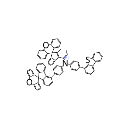 C/C=C(\C1=C(C)C2(c3ccccc3Oc3ccccc32)c2ccccc21)N(c1ccc(-c2cccc3c2-c2ccccc2C32c3ccccc3Oc3ccccc32)cc1)c1ccc(-c2cccc3c2sc2ccccc23)cc1